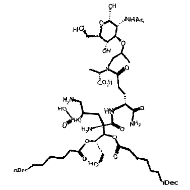 CCCCCCCCCCCCCCCC(=O)OC([C@H](CO)OC(=O)CCCCCCCCCCCCCCC)[C@](N)(CC(CN)O[PH](=O)O)C(=O)N[C@H](CCC(=O)N(CC(C)O[C@H]1[C@H](O)[C@@H](CO)O[C@H](O)[C@@H]1NC(C)=O)[C@@H](C)C(=O)O)C(N)=O